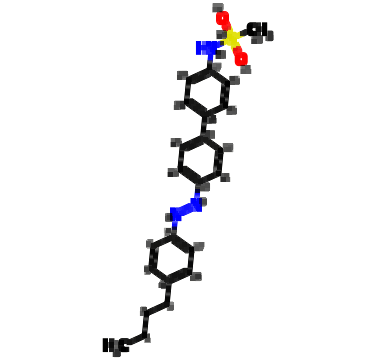 CCCCc1ccc(N=Nc2ccc(-c3ccc(NS(C)(=O)=O)cc3)cc2)cc1